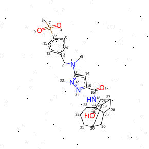 CN(Cc1ccc(S(C)(=O)=O)cc1)c1cc(C(=O)N[C@H]2C3CCC[C@@]4(O)CC2CC4C3)nn1C